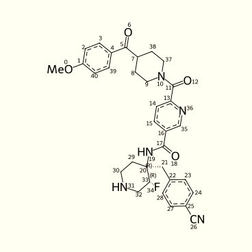 COc1ccc(C(=O)C2CCN(C(=O)c3ccc(C(=O)N[C@]4(Cc5ccc(C#N)cc5)CCNC[C@H]4F)cn3)CC2)cc1